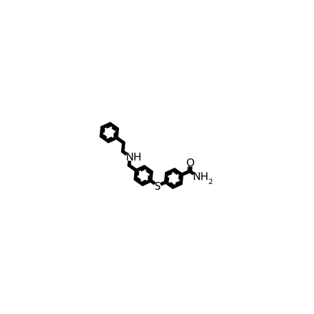 NC(=O)c1ccc(Sc2ccc(CNCCc3ccccc3)cc2)cc1